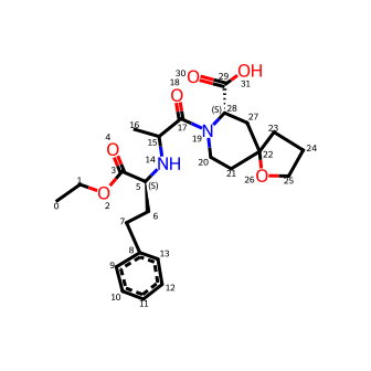 CCOC(=O)[C@H](CCc1ccccc1)NC(C)C(=O)N1CCC2(CCCO2)C[C@H]1C(=O)O